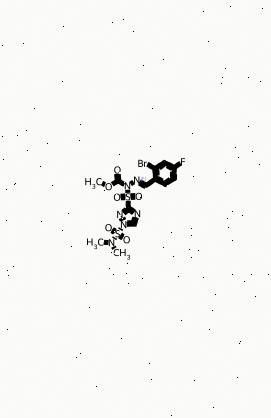 COC(=O)N(/N=C/c1ccc(F)cc1Br)S(=O)(=O)c1ncn(S(=O)(=O)N(C)C)n1